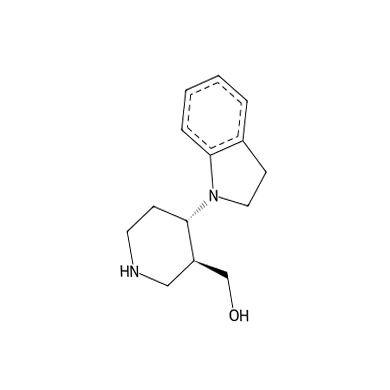 OC[C@H]1CNCC[C@@H]1N1CCc2ccccc21